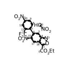 CCOC(=O)c1onc2cc(-c3ccc([N+](=O)[O-])cc3C(F)(F)F)c([N+](=O)[O-])cc12.O=[N+]([O-])O